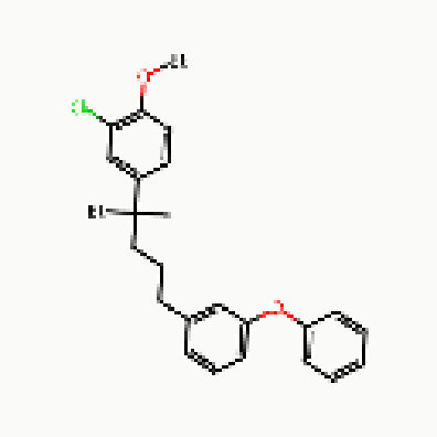 CCOc1ccc(C(C)(CC)CCCc2cccc(Oc3ccccc3)c2)cc1Cl